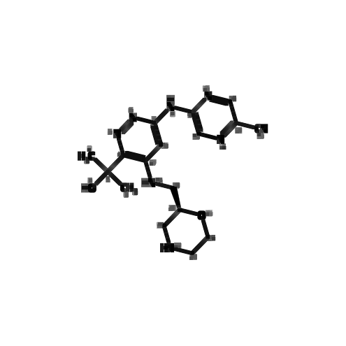 CC(C)(O)c1nnc(Nc2cnc(C#N)cn2)cc1NC[C@@H]1CNCCO1